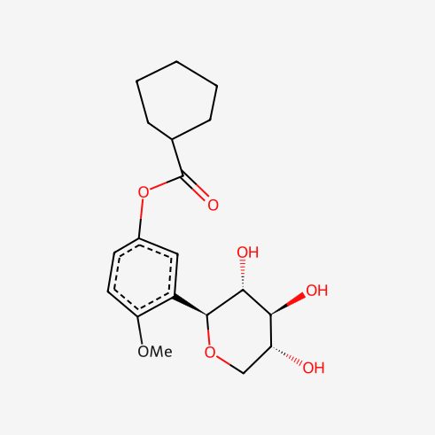 COc1ccc(OC(=O)C2CCCCC2)cc1[C@@H]1OC[C@@H](O)[C@H](O)[C@H]1O